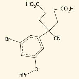 CCCOc1cc(Br)cc(C(C#N)(CCC(=O)O)CCC(=O)O)c1